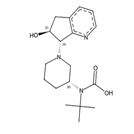 CC(C)(C)N(C(=O)O)[C@@H]1CCCN([C@H]2c3ncccc3C[C@@H]2O)C1